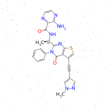 C[C@@H](NC(=O)c1nccnc1N)c1nc2scc(C#Cc3cnn(C)c3)c2c(=O)n1-c1ccccc1